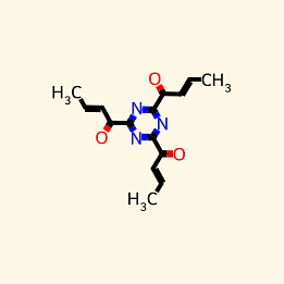 CC=CC(=O)c1nc(C(=O)C=CC)nc(C(=O)C=CC)n1